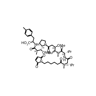 CC[C@H](C)[C@@H]([C@@H](CC(=O)N1CCC[C@H]1C(OC)[C@@H](C)C(=O)NC(Cc1ccc(C)cc1)C(=O)O)OC)N(C)C(=O)[C@@H](NC(=O)[C@H](C(C)C)N(C)C(=O)CCCCCN1C(=O)C=CC1=O)C(C)C